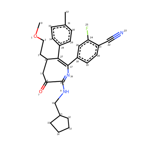 COCCC1CC(=O)C(NCC2CCCC2)=NC(c2ccc(C#N)c(F)c2)=C1c1ccc(C)cc1